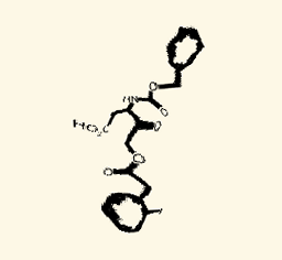 O=C(O)CC(NC(=O)OCc1ccccc1)C(=O)COC(=O)Cc1ccccc1I